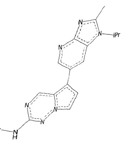 Cc1nc2ncc(-c3ccn4nc(NC(C)C)ncc34)cc2n1C(C)C